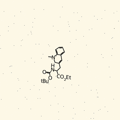 CCOC(=O)C(CC1=Cc2ccccc2N(C)C1)NC(=O)OC(C)(C)C